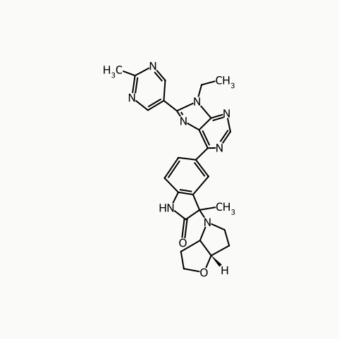 CCn1c(-c2cnc(C)nc2)nc2c(-c3ccc4c(c3)C(C)(N3CC[C@@H]5OCCC53)C(=O)N4)ncnc21